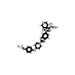 COc1ccc(OC2CCN(c3nc4ccc(S(=O)(=O)C5(C(=O)NO)CCOCC5)cc4s3)CC2)cc1